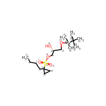 CCCCC1(S(=O)(=O)OC[C@H](O)CO[Si](C)(C)C(C)(C)C)CC1